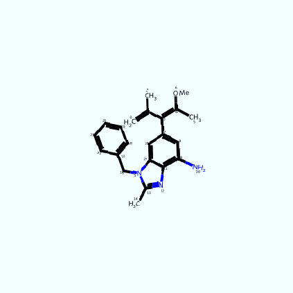 C=C(C)/C(=C(/C)OC)c1cc(N)c2nc(C)n(Cc3ccccc3)c2c1